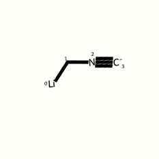 [Li][CH2][N+]#[C-]